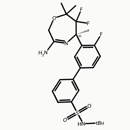 CC(C)(C)NS(=O)(=O)c1cccc(-c2ccc(F)c([C@@]3(C)N=C(N)COC(C)(C)C3(F)F)c2)c1